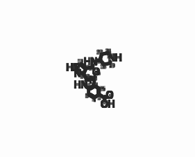 O=C(O)c1ccc2[nH]c(-c3n[nH]cc3C(=O)NC3CCNCC3)nc2c1